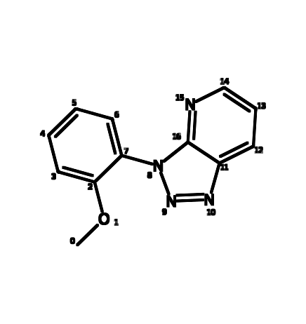 COc1ccccc1-n1nnc2cccnc21